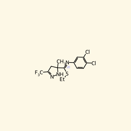 CCS/C(=N\c1ccc(Cl)c(Cl)c1)C1(C)CC(C(F)(F)F)=NN1